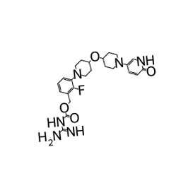 N=C(N)NC(=O)OCc1cccc(N2CCC(OC3CCN(c4ccc(=O)[nH]c4)CC3)CC2)c1F